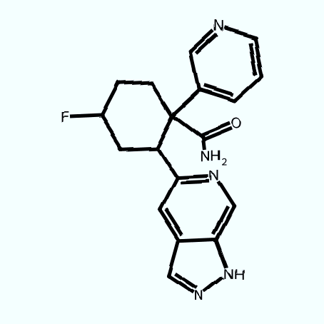 NC(=O)C1(c2cccnc2)CCC(F)CC1c1cc2cn[nH]c2cn1